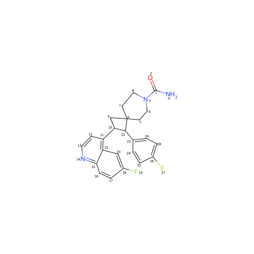 NC(=O)N1CCC2(CC1)CC(c1ccnc3ccc(F)cc13)C2c1ccc(F)cc1